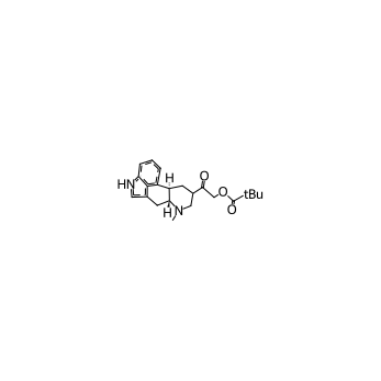 CN1CC(C(=O)COC(=O)C(C)(C)C)C[C@@H]2c3cccc4[nH]cc(c34)C[C@H]21